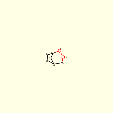 C1CC2CC1COO2